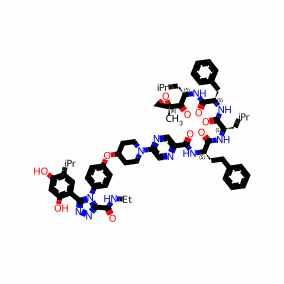 CCNC(=O)c1nnc(-c2cc(C(C)C)c(O)cc2O)n1-c1ccc(OC2CCN(c3cnc(C(=O)N[C@@H](CCc4ccccc4)C(=O)N[C@@H](CC(C)C)C(=O)N[C@@H](Cc4ccccc4)C(=O)N[C@@H](CC(C)C)C(=O)[C@@]4(C)CO4)cn3)CC2)cc1